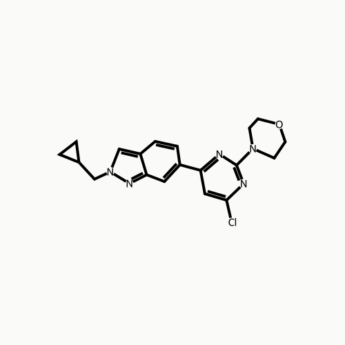 Clc1cc(-c2ccc3cn(CC4CC4)nc3c2)nc(N2CCOCC2)n1